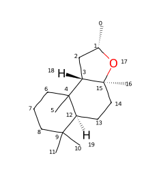 C[C@H]1C[C@H]2C3(C)CCCC(C)(C)[C@@H]3CC[C@]2(C)O1